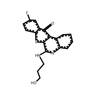 O=c1c2cc(F)ccc2sc2c(NCCCO)nc3ccccc3c12